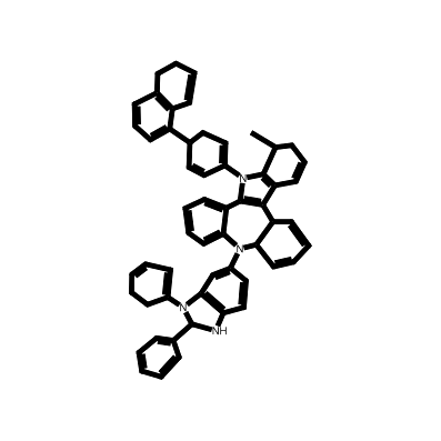 CC1CC=Cc2c3c(n(C4=CCC(c5cccc6c5C=CCC6)C=C4)c21)-c1ccccc1N(c1ccc2c(c1)N(C1=CC=CCC1)C(c1ccccc1)N2)C1C=CC=CC31